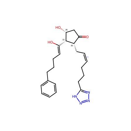 O=C1C[C@@H](O)[C@@H](C(O)=CCCCc2ccccc2)[C@H]1C/C=C\CCCc1nnn[nH]1